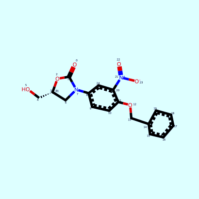 O=C1O[C@@H](CO)CN1c1ccc(OCc2ccccc2)c([N+](=O)[O-])c1